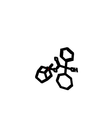 CN1CC2CCC(C1)C2COC(=O)C(O)(c1ccccc1)C1CCCCCC1